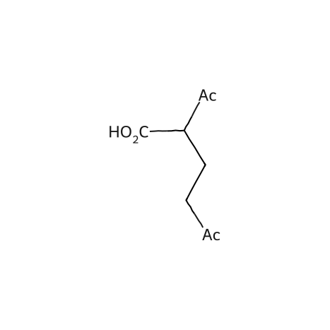 CC(=O)CCC(C(C)=O)C(=O)O